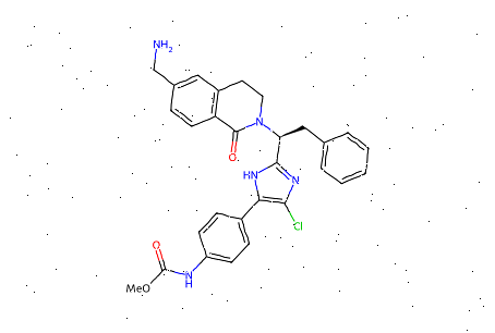 COC(=O)Nc1ccc(-c2[nH]c([C@H](Cc3ccccc3)N3CCc4cc(CN)ccc4C3=O)nc2Cl)cc1